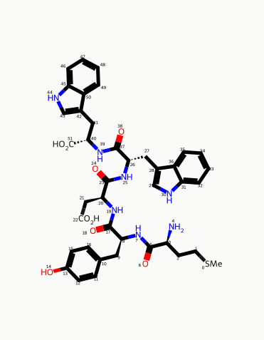 CSCC[C@H](N)C(=O)N[C@@H](Cc1ccc(O)cc1)C(=O)N[C@@H](CC(=O)O)C(=O)N[C@@H](Cc1c[nH]c2ccccc12)C(=O)N[C@@H](Cc1c[nH]c2ccccc12)C(=O)O